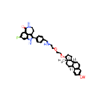 C[C@]12CC[C@@H]3c4ccc(O)cc4CC[C@H]3[C@@H]1CC[C@@H]2OCCOCCNCc1ccc(-c2[nH]c3cc(F)cc4c3c2CCNC4=O)cc1